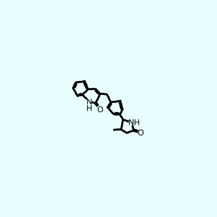 CC1CC(=O)NC1c1ccc(Cc2cc3ccccc3[nH]c2=O)cc1